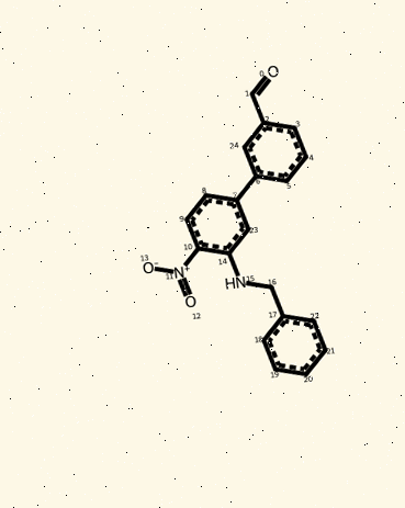 O=Cc1cccc(-c2ccc([N+](=O)[O-])c(NCc3ccccc3)c2)c1